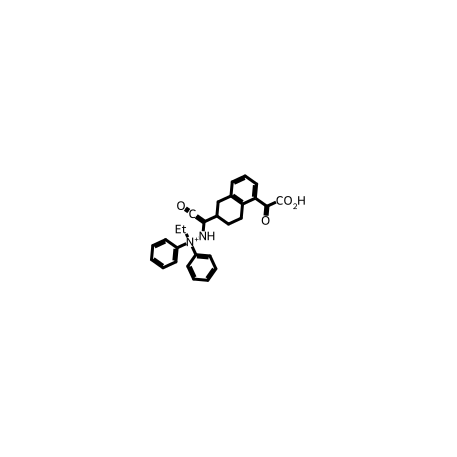 CC[N+](NC(=C=O)C1CCc2c(cccc2C(=O)C(=O)O)C1)(c1ccccc1)c1ccccc1